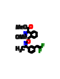 CO/N=C(/C(=O)OC)c1ccccc1CON=C(C)c1cccc(C=C(F)F)c1